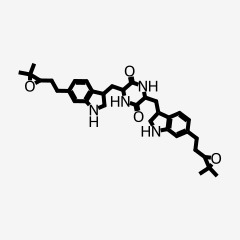 CC1(C)OC1CCc1ccc2c(c1)NCC2CC1NC(=O)C(CC2CNc3cc(CCC4OC4(C)C)ccc32)NC1=O